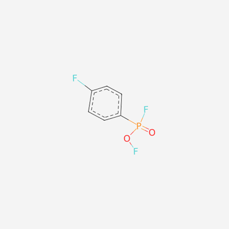 O=P(F)(OF)c1ccc(F)cc1